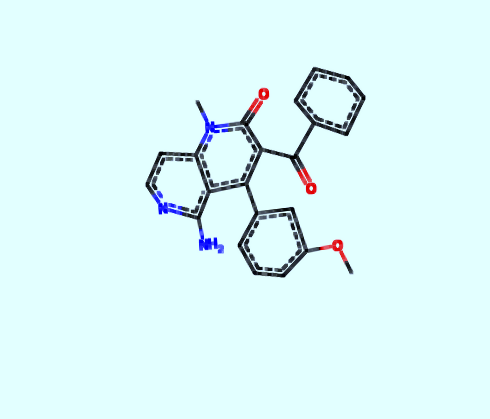 COc1cccc(-c2c(C(=O)c3ccccc3)c(=O)n(C)c3ccnc(N)c23)c1